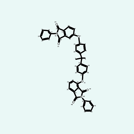 CC(C)(c1ccc(Oc2ccc3c(c2)C(=O)N(c2ccccc2)C3=O)cc1)c1ccc(Oc2cccc3c2C(=O)N(c2ccccc2)C3=O)cc1